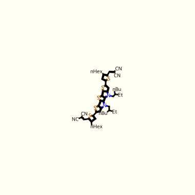 CCCCCCc1cc(-c2cc3c(s2)c2sc4c5sc(-c6cc(CCCCCC)c(C=C(C#N)C#N)s6)cc5n(CC(CC)CCCC)c4c2n3CC(CC)CCCC)sc1C=C(C#N)C#N